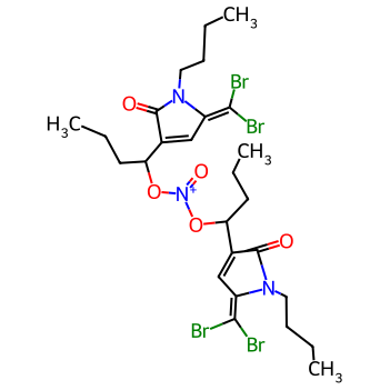 CCCCN1C(=O)C(C(CCC)O[N+](=O)OC(CCC)C2=CC(=C(Br)Br)N(CCCC)C2=O)=CC1=C(Br)Br